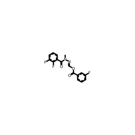 CN(N=COC(=O)c1cccc(F)c1)C(=O)c1cccc(F)c1F